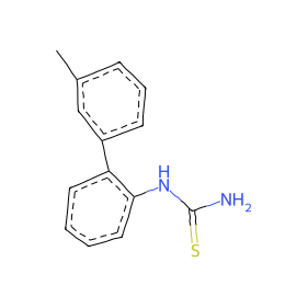 Cc1cccc(-c2ccccc2NC(N)=S)c1